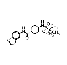 CC(C)(C)S(=O)(=O)N[C@H]1CC[C@H](C(=O)Nc2ccc3c(c2)CCO3)CC1